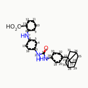 O=C(Nc1ccc(Nc2ccccc2C(=O)O)cc1)Nc1ccc(C23CC4CC(CC(C4)C2)C3)cc1